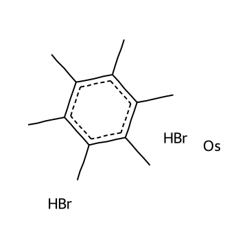 Br.Br.Cc1c(C)c(C)c(C)c(C)c1C.[Os]